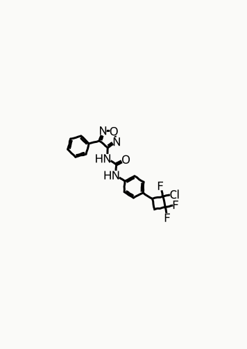 O=C(Nc1ccc(C2CC(F)(F)C2(F)Cl)cc1)Nc1nonc1-c1ccccc1